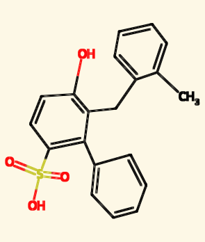 Cc1ccccc1Cc1c(O)ccc(S(=O)(=O)O)c1-c1ccccc1